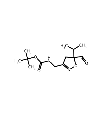 CC(C)C1(C=O)CC(CNC(=O)OC(C)(C)C)=NO1